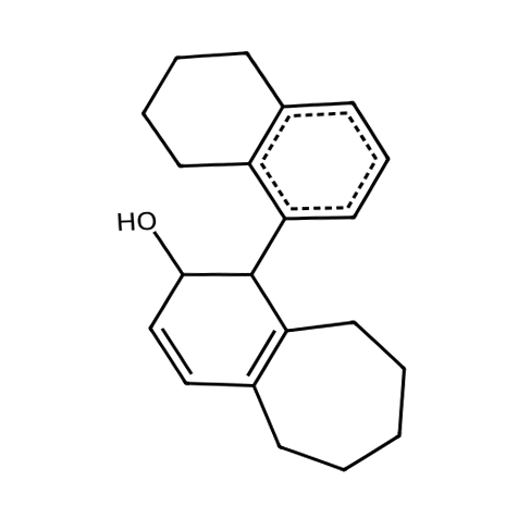 OC1C=CC2=C(CCCCC2)C1c1cccc2c1CCCC2